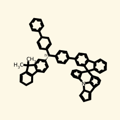 CC1(C)C2=C(CCC=C2)c2ccc([C@H](C3=CCC(c4ccccc4)C=C3)c3ccc(-c4ccc5c(c4)C4(c6ccccc6-5)c5ccccc5N5c6c(cccc64)C4=CC=CC45)cc3)cc21